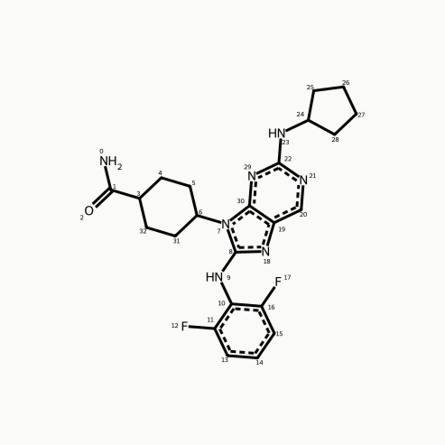 NC(=O)C1CCC(n2c(Nc3c(F)cccc3F)nc3cnc(NC4CCCC4)nc32)CC1